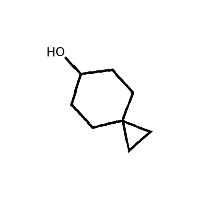 OC1CCC2(CC1)CC2